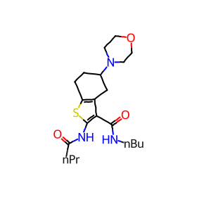 CCCCNC(=O)c1c(NC(=O)CCC)sc2c1CC(N1CCOCC1)CC2